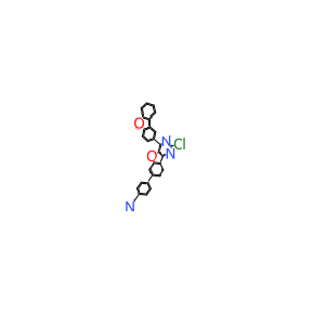 N#Cc1ccc(-c2ccc3c(c2)oc2c(-c4ccc5oc6ccccc6c5c4)nc(Cl)nc23)cc1